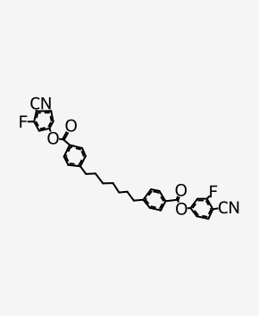 N#Cc1ccc(OC(=O)c2ccc(CCCCCCCc3ccc(C(=O)Oc4ccc(C#N)c(F)c4)cc3)cc2)cc1F